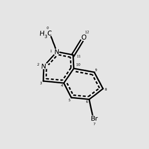 Cn1ncc2cc(Br)ccc2c1=O